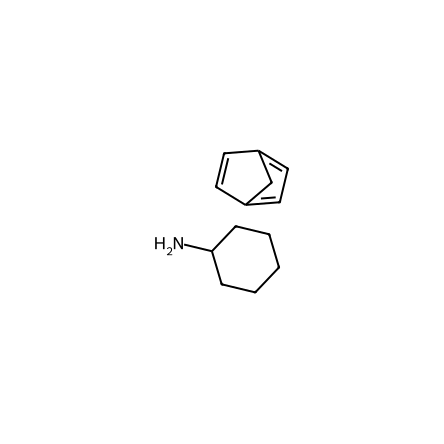 C1=CC2=CC=C1C2.NC1CCCCC1